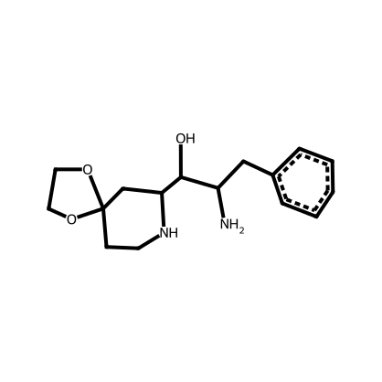 NC(Cc1ccccc1)C(O)C1CC2(CCN1)OCCO2